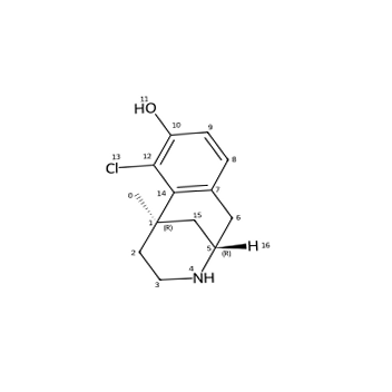 C[C@]12CCN[C@@H](Cc3ccc(O)c(Cl)c31)C2